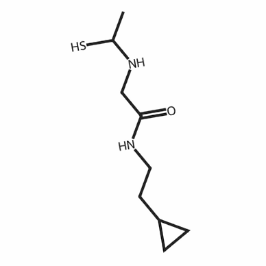 CC(S)NCC(=O)NCCC1CC1